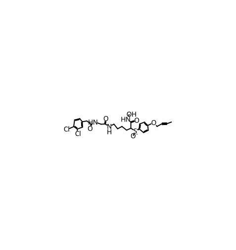 CC#CCOc1ccc([S+]([O-])C(CCCCNC(=O)CNC(=O)Cc2ccc(Cl)c(Cl)c2)C(=O)NO)cc1